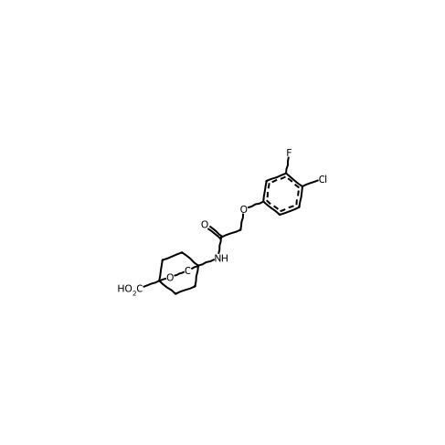 O=C(COc1ccc(Cl)c(F)c1)NC12CCC(C(=O)O)(CC1)OC2